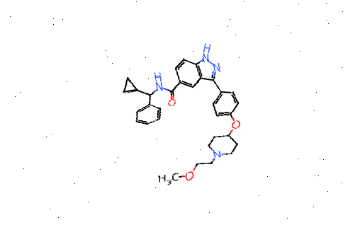 COCCN1CCC(Oc2ccc(-c3n[nH]c4ccc(C(=O)NC(c5ccccc5)C5CC5)cc34)cc2)CC1